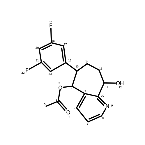 CC(=O)OC1c2cccnc2C(O)CCC1c1cc(F)cc(F)c1